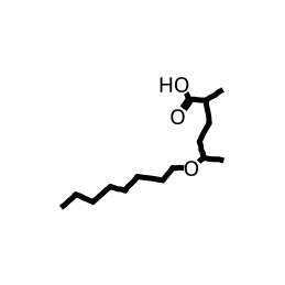 CCCCCCCCOC(C)CCC(C)C(=O)O